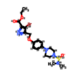 CCOC(=O)c1n[nH]c(COc2ccc(N3CCN([S+]([O-])N(C)C)CC3)cc2)c1Br